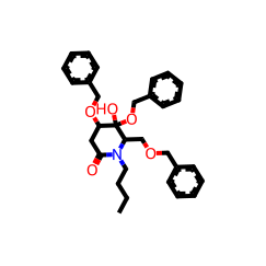 CCCCN1C(=O)CC(OCc2ccccc2)C(O)(OCc2ccccc2)C1COCc1ccccc1